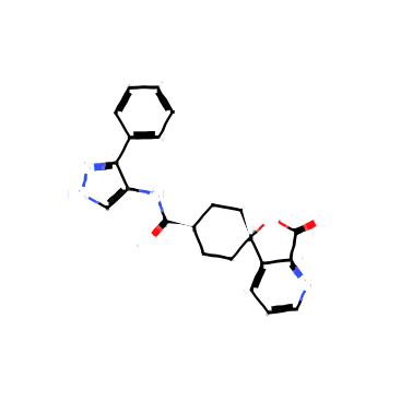 O=C1O[C@]2(CC[C@H](C(=O)Nc3c[nH]nc3-c3ccccc3)CC2)c2cccnc21